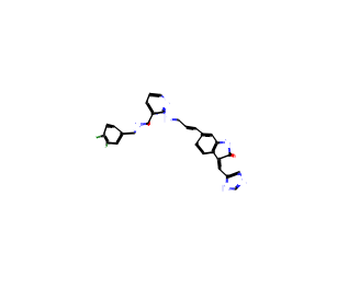 O=C1Nc2cc(/C=C/CNc3ncccc3C(=O)NCc3ccc(F)c(F)c3)ccc2/C1=C/c1cnc[nH]1